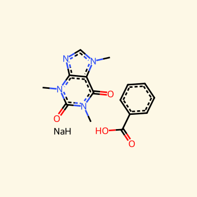 Cn1c(=O)c2c(ncn2C)n(C)c1=O.O=C(O)c1ccccc1.[NaH]